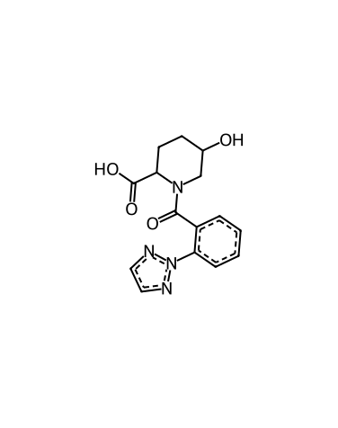 O=C(O)C1CCC(O)CN1C(=O)c1ccccc1-n1nccn1